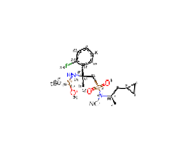 C[C@H](CC1CC1)N(C#N)S(=O)(=O)C[C@](C)(N[S@+]([O-])C(C)(C)C)c1ccccc1F